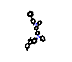 CC1CCC2=C(C1)c1ccc(N(c3ccc(-c4ccc5c(c4)c4ccccc4n5C4(C)C=CC(c5ccccc5)=CC4)cc3)C3C=CC=CC3)cc1C2(C)C